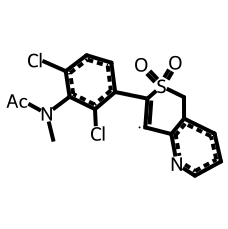 CC(=O)N(C)c1c(Cl)ccc(C2=[C]c3ncccc3CS2(=O)=O)c1Cl